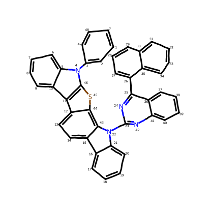 c1ccc(-n2c3ccccc3c3c4ccc5c6ccccc6n(-c6nc(-c7cccc8ccccc78)c7ccccc7n6)c5c4sc32)cc1